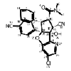 CN(C)C(=O)[C@@H]1[C@@H](c2ccccc2)[C@]2(c3ccc(C#N)cc3)Oc3cc(Cl)cnc3[C@]2(O)[C@H]1C#N